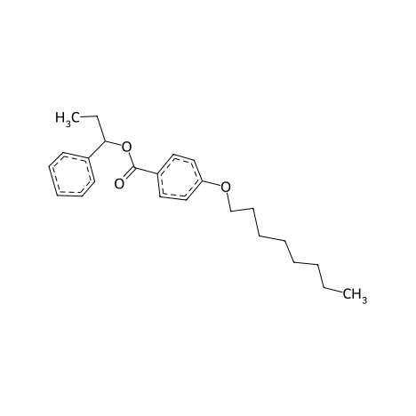 CCCCCCCCOc1ccc(C(=O)OC(CC)c2ccccc2)cc1